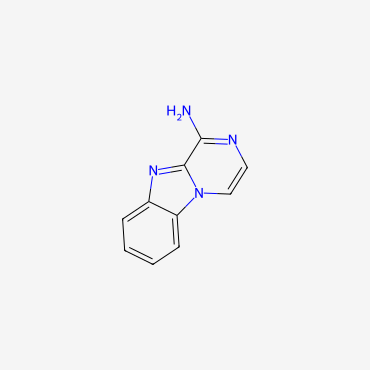 Nc1nccn2c1nc1ccccc12